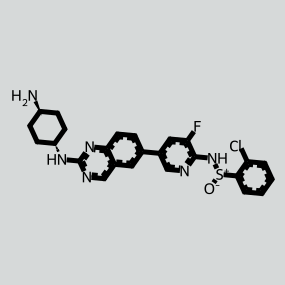 N[C@H]1CC[C@H](Nc2ncc3cc(-c4cnc(N[S+]([O-])c5ccccc5Cl)c(F)c4)ccc3n2)CC1